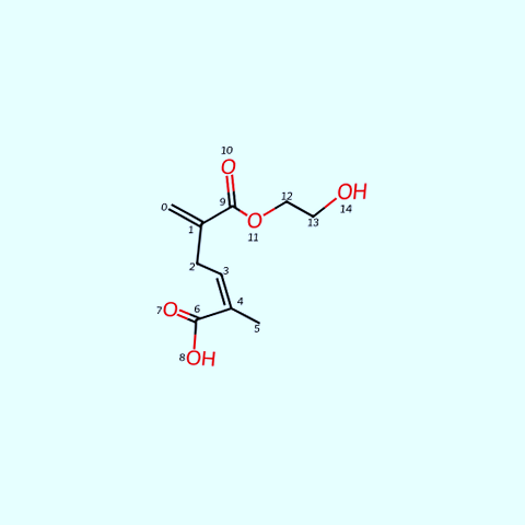 C=C(CC=C(C)C(=O)O)C(=O)OCCO